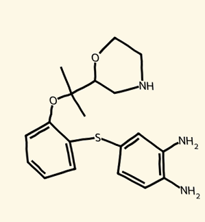 CC(C)(Oc1ccccc1Sc1ccc(N)c(N)c1)C1CNCCO1